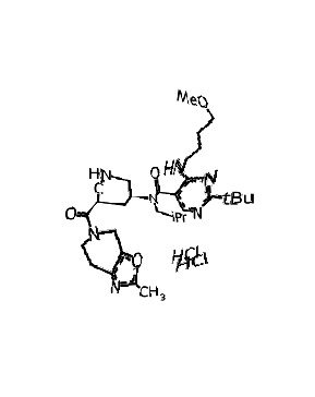 COCCCNc1nc(C(C)(C)C)ncc1C(=O)N(CC(C)C)[C@@H]1CNC[C@H](C(=O)N2CCc3nc(C)oc3C2)C1.Cl.Cl